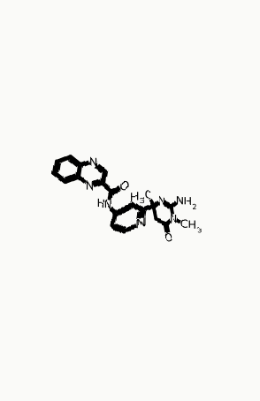 CN1C(=O)CC(C)(c2cc(NC(=O)c3cnc4ccccc4n3)ccn2)N=C1N